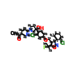 Cc1cccc(Cl)c1-c1noc(C(C)(C)F)c1COc1ccc(C2(O)CCN(c3ccc(C(=O)N=O)cn3)C2)c(Cl)c1